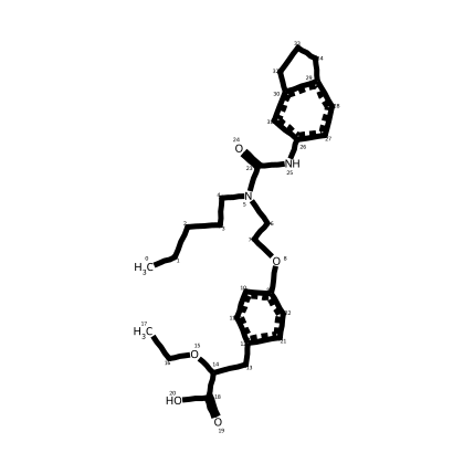 CCCCCN(CCOc1ccc(CC(OCC)C(=O)O)cc1)C(=O)Nc1ccc2c(c1)CCC2